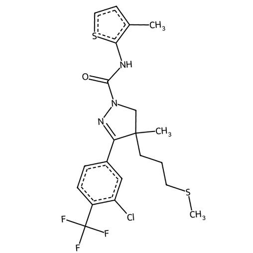 CSCCCC1(C)CN(C(=O)Nc2sccc2C)N=C1c1ccc(C(F)(F)F)c(Cl)c1